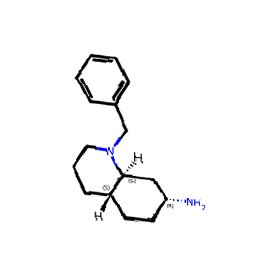 N[C@@H]1CC[C@@H]2CCCN(Cc3ccccc3)[C@H]2C1